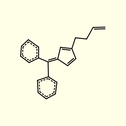 C=CCCC1=CC(=C(c2ccccc2)c2ccccc2)C=C1